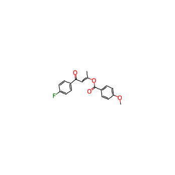 COc1ccc(C(=O)OC(C)=CC(=O)c2ccc(F)cc2)cc1